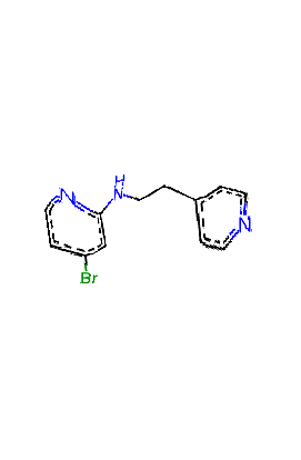 Brc1ccnc(NCCc2ccncc2)c1